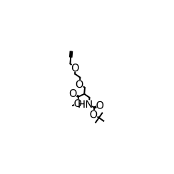 C#CCOCCOCC(CNC(=O)OC(C)(C)C)C(=O)OC